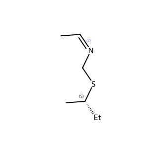 C/C=N\CS[C@@H](C)CC